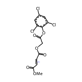 COC(=O)/C=C/C(=O)OCC(=O)Oc1c(Cl)cc(Cl)cc1Cl